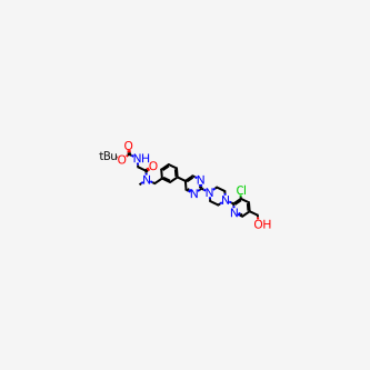 CN(Cc1cccc(-c2cnc(N3CCN(c4ncc(CO)cc4Cl)CC3)nc2)c1)C(=O)CNC(=O)OC(C)(C)C